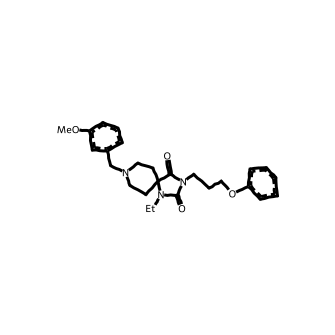 CCN1C(=O)N(CCCOc2ccccc2)C(=O)C12CCN(Cc1cccc(OC)c1)CC2